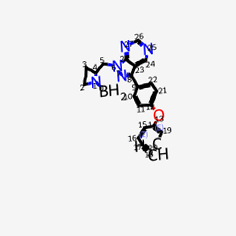 BN1CCC1Cn1nc(-c2ccc(OC(/C=C\C#C)=C/C)cc2)c2cncnc21